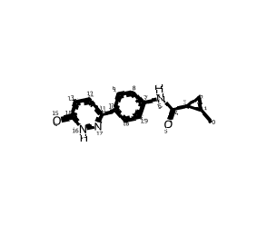 CC1CC1C(=O)Nc1ccc(-c2ccc(=O)[nH]n2)cc1